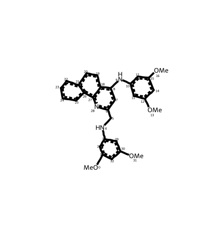 COc1cc(NCc2cc(Nc3cc(OC)cc(OC)c3)c3ccc4ccccc4c3n2)cc(OC)c1